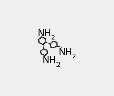 NCc1ccc(-c2cc(N)ccc2-c2ccc(N)cc2)cc1